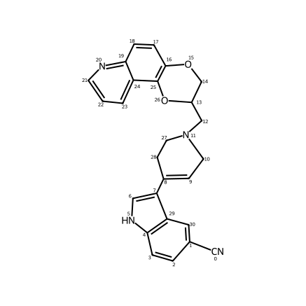 N#Cc1ccc2[nH]cc(C3=CCN(CC4COc5ccc6ncccc6c5O4)CC3)c2c1